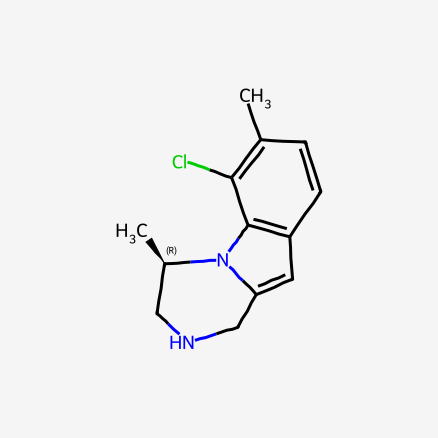 Cc1ccc2cc3n(c2c1Cl)[C@H](C)CNC3